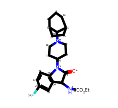 CCOC(=O)NC1C(=O)N(C2CCN(C3C4CCCC3CC4)CC2)c2ccc(F)cc21